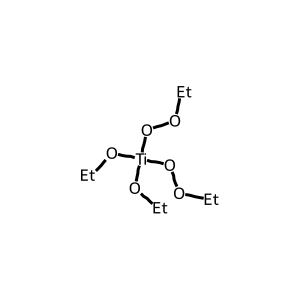 CCO[O][Ti]([O]CC)([O]CC)[O]OCC